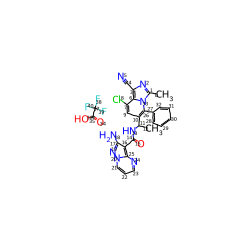 Cc1nc(C#N)c2c(Cl)cc(C(C)NC(=O)c3c(N)nn4cccnc34)c(-c3ccccc3)n12.O=C(O)C(F)(F)F